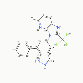 Cc1ccc2nc(C(F)(F)F)n(-c3cc(-c4ccccc4)c4[nH]ncc4c3)c2n1